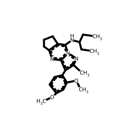 CCC(CC)Nc1c2c(nc3c(-c4ccc(OC)cc4OC)c(C)nn13)CCC2